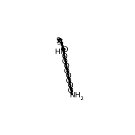 NCCOCCOCCOCCOCCOCCOCCOCCOCCNC(=O)CCCCC1CCSS1